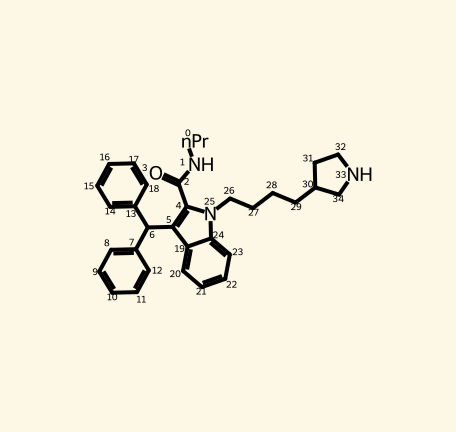 CCCNC(=O)c1c(C(c2ccccc2)c2ccccc2)c2ccccc2n1CCCCC1CCNC1